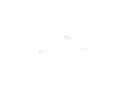 C=CC=C.[Mn]